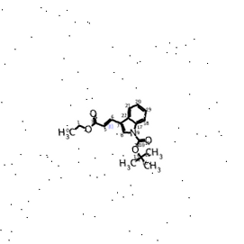 CCOC(=O)/C=C/c1cn(C(=O)OC(C)(C)C)c2ccccc12